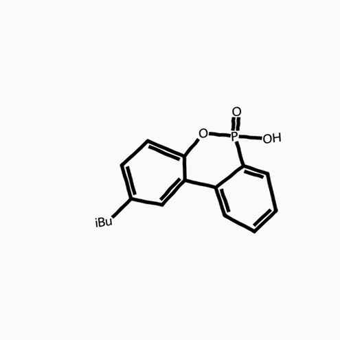 CCC(C)c1ccc2c(c1)-c1ccccc1P(=O)(O)O2